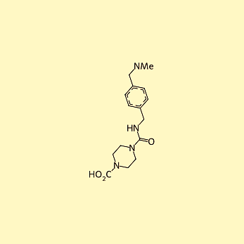 CNCc1ccc(CNC(=O)N2CCN(C(=O)O)CC2)cc1